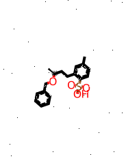 Cc1ccc(S(=O)(=O)O)c(CC[C@H](C)OCc2ccccc2)c1